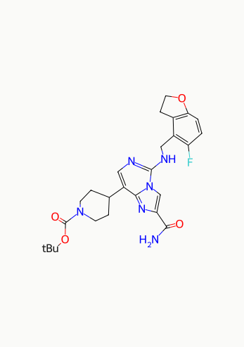 CC(C)(C)OC(=O)N1CCC(c2cnc(NCc3c(F)ccc4c3CCO4)n3cc(C(N)=O)nc23)CC1